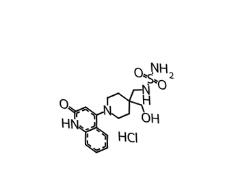 Cl.NS(=O)(=O)NCC1(CO)CCN(c2cc(=O)[nH]c3ccccc23)CC1